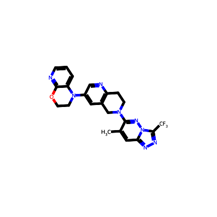 Cc1cc2nnc(C(F)(F)F)n2nc1N1CCc2ncc(N3CCOc4ncccc43)cc2C1